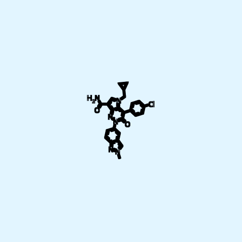 Cn1cc2cc(-n3nc4c(C(N)=O)cn(CC5CC5)c4c(-c4ccc(Cl)cc4)c3=O)ccc2n1